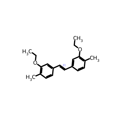 CCOc1cc(/C=C/c2ccc(C)c(OCC)c2)ccc1C